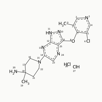 Cc1cncc(Cl)c1Oc1n[nH]c2nc(N3CCC(C)(N)CC3)cnc12.Cl.Cl